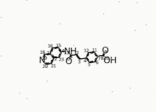 O=C(/C=C/c1ccc(C(=O)O)cc1)Nc1ccc2cnccc2c1